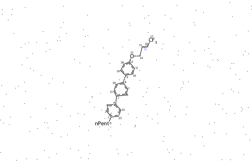 CCCCCc1ccc(-c2ccc(-c3ccc(OC/C=C/C(F)(F)F)cc3)cc2)cc1